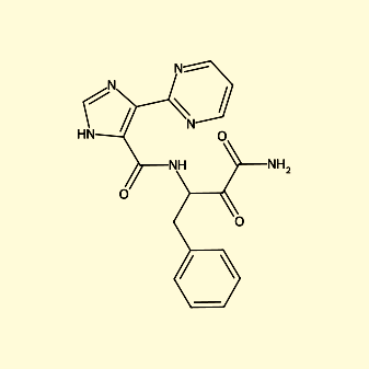 NC(=O)C(=O)C(Cc1ccccc1)NC(=O)c1[nH]cnc1-c1ncccn1